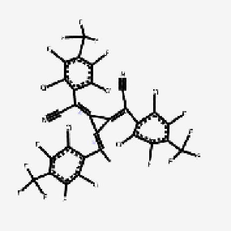 C/C(=C1\C(=C(C#N)c2c(Cl)c(F)c(C(F)(F)F)c(F)c2Cl)\C1=C(\C#N)c1c(Cl)c(F)c(C(F)(F)F)c(F)c1Cl)c1c(Cl)c(F)c(C(F)(F)F)c(F)c1Cl